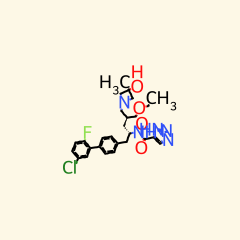 CCOC(=O)[C@@H](C[C@@H](Cc1ccc(-c2cc(Cl)ccc2F)cc1)NC(=O)c1cnn[nH]1)CN1CC(C)(O)C1